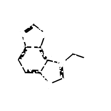 CC[n+]1csc2ccc3ncsc3c21